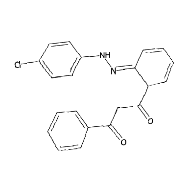 O=C(CC(=O)C1C=CC=CC1=NNc1ccc(Cl)cc1)c1ccccc1